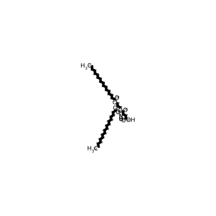 CCCCCCCCCCCCCCCCCC(=O)OCC(COC(=O)C(CC(=O)O)N=O)OC(=O)CCCCCCCCCCCCCCCCC